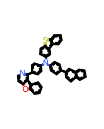 c1ccc2cc(-c3ccc(N(c4ccc(-c5nccc6oc7ccccc7c56)cc4)c4ccc5sc6ccccc6c5c4)cc3)ccc2c1